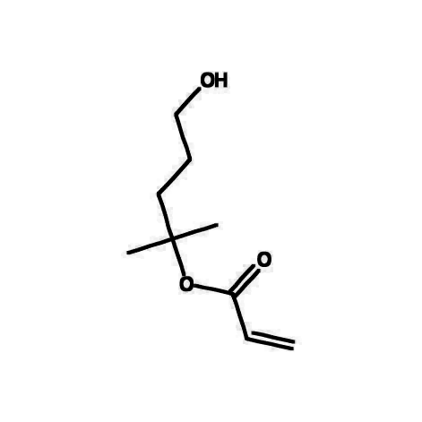 C=CC(=O)OC(C)(C)CCCO